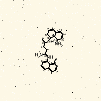 Cc1cccc2cccc(NC(N)CCC(C)NC3CC=CC4=CC=CC(N)C43)c12